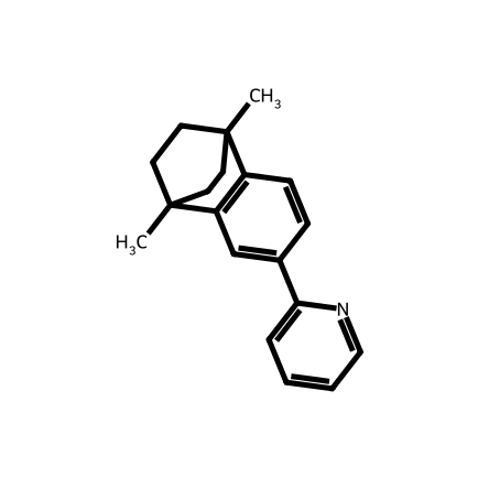 CC12CCC(C)(CC1)c1cc(-c3ccccn3)ccc12